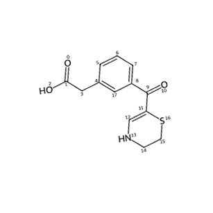 O=C(O)Cc1cccc(C(=O)C2=CNCCS2)c1